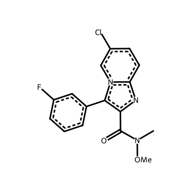 CON(C)C(=O)c1nc2ccc(Cl)cn2c1-c1cccc(F)c1